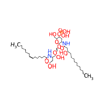 CCCCCC/C=C\CCCCCC(=O)NC(CCO)[C@@H](O)O/C=C/OC1OC(CO)[C@@H](OP(=O)(O)O)CC1NC(=O)CC(O)CCCCCCCCCCC